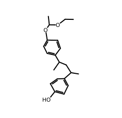 CCOC(C)Oc1ccc(C(C)CC(C)c2ccc(O)cc2)cc1